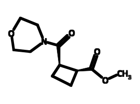 COC(=O)[C@H]1CC[C@H]1C(=O)N1CCOCC1